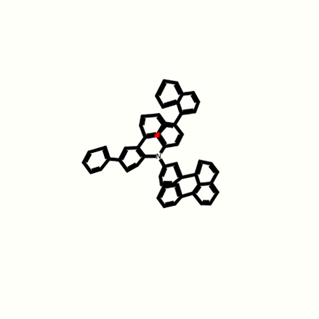 c1ccc(-c2ccc(N(c3ccc(-c4cccc5ccccc45)cc3)c3cccc(-c4cccc5cccc(-c6ccccc6)c45)c3)c(-c3ccccc3)c2)cc1